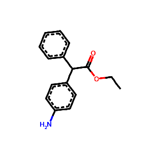 CCOC(=O)C(c1ccccc1)c1ccc(N)cc1